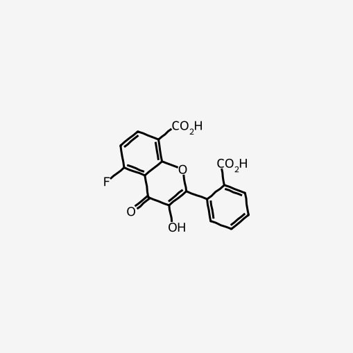 O=C(O)c1ccccc1-c1oc2c(C(=O)O)ccc(F)c2c(=O)c1O